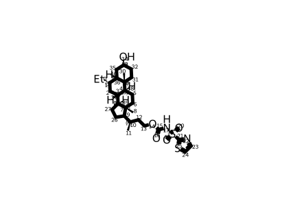 CC[C@H]1C[C@@H]2[C@H](CC[C@]3(C)C([C@H](C)CCOC(=O)NS(=O)(=O)c4nccs4)CC[C@@H]23)[C@@]2(C)CC[C@@H](O)C[C@@H]12